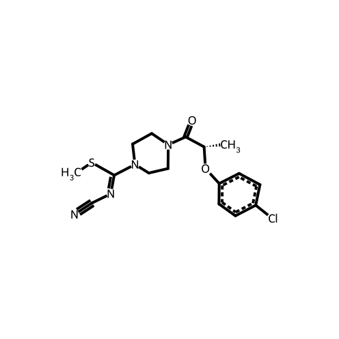 CS/C(=N\C#N)N1CCN(C(=O)[C@H](C)Oc2ccc(Cl)cc2)CC1